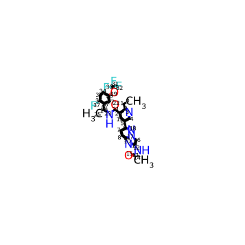 CCc1ncc(-c2ccc3nc(NC(C)=O)cn3n2)cc1C(=O)N[C@H](C)c1cc(OC(F)(F)F)ccc1F